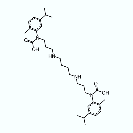 Cc1ccc(C(C)C)cc1N(CCCNCCCCNCCCN(C(=O)O)c1cc(C(C)C)ccc1C)C(=O)O